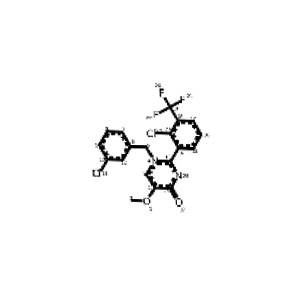 COc1cn(Cc2cccc(Cl)c2)c(-c2cccc(C(F)(F)F)c2Cl)nc1=O